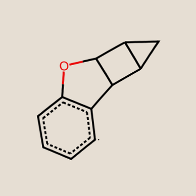 [c]1cccc2c1C1C3CC3C1O2